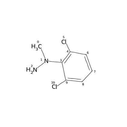 CN(N)c1c(Cl)cccc1Cl